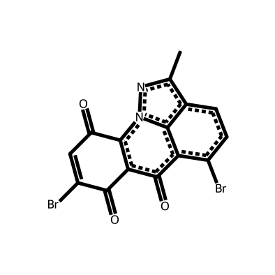 Cc1nn2c3c(c(=O)c4c(Br)ccc1c42)C(=O)C(Br)=CC3=O